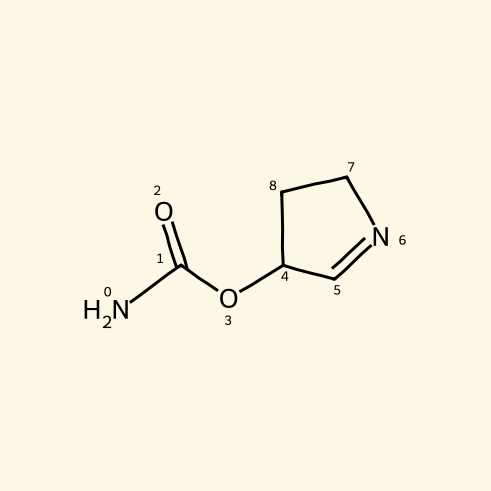 NC(=O)OC1C=NCC1